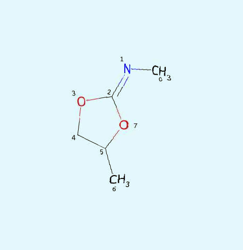 CN=C1OCC(C)O1